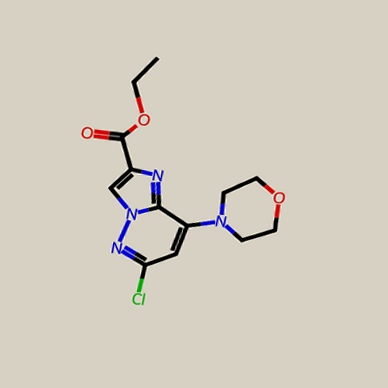 CCOC(=O)c1cn2nc(Cl)cc(N3CCOCC3)c2n1